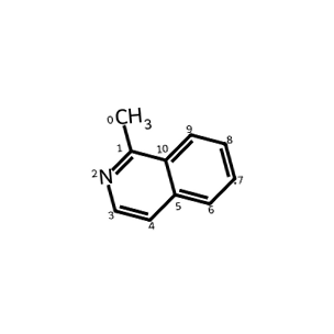 Cc1nccc2c[c]ccc12